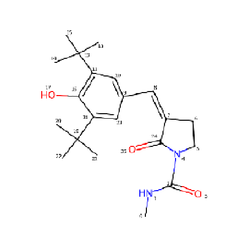 CNC(=O)N1CCC(=Cc2cc(C(C)(C)C)c(O)c(C(C)(C)C)c2)C1=O